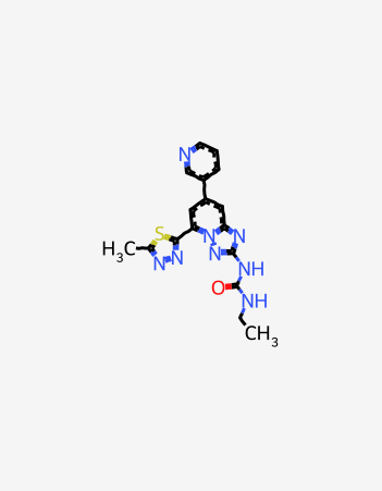 CCNC(=O)Nc1nc2cc(-c3cccnc3)cc(-c3nnc(C)s3)n2n1